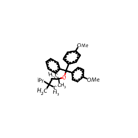 COc1ccc(C(OC(C)(C)CC(C)(C)C(C)C)(c2ccccc2)c2ccc(OC)cc2)cc1